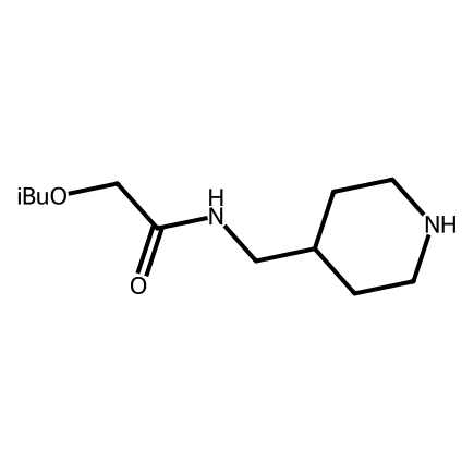 CC(C)COCC(=O)NCC1CCNCC1